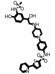 CS(=O)(=O)Nc1cc(C(O)CNC2CCN(c3ccc(NS(=O)(=O)c4ccc(-c5ccccn5)s4)cc3)CC2)ccc1O